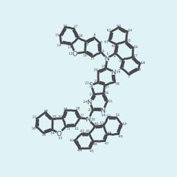 c1ccc2c(N(c3ccc4c(c3)oc3ccccc34)c3cc4sc5nc(N(c6ccc7c(c6)oc6ccccc67)c6c7ccccc7cc7ccccc67)ncc5c4cn3)c3ccccc3cc2c1